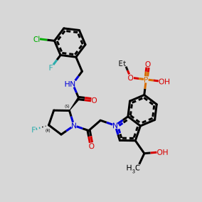 CCOP(=O)(O)c1ccc2c(C(C)O)cn(CC(=O)N3C[C@H](F)C[C@H]3C(=O)NCc3cccc(Cl)c3F)c2c1